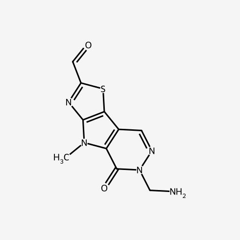 Cn1c2nc(C=O)sc2c2cnn(CN)c(=O)c21